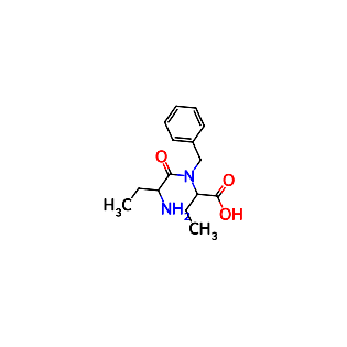 CCC(N)C(=O)N(Cc1ccccc1)C(CC)C(=O)O